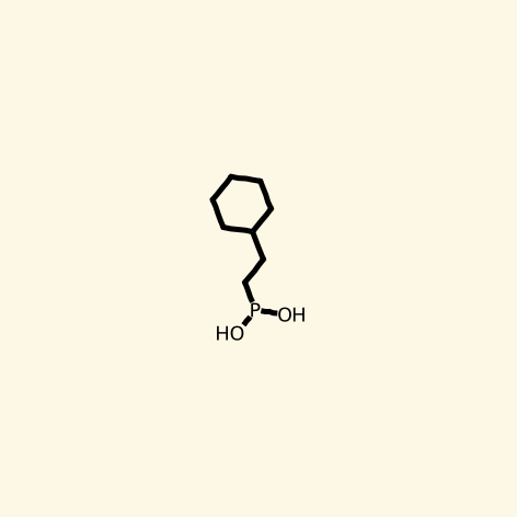 OP(O)CCC1CCCCC1